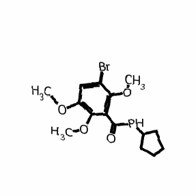 COc1cc(Br)c(OC)c(C(=O)PC2CCCC2)c1OC